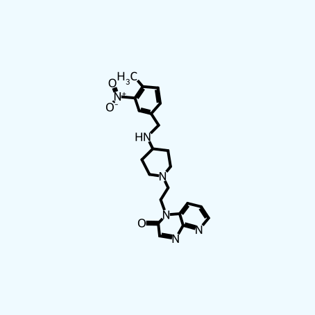 Cc1ccc(CNC2CCN(CCn3c(=O)cnc4ncccc43)CC2)cc1[N+](=O)[O-]